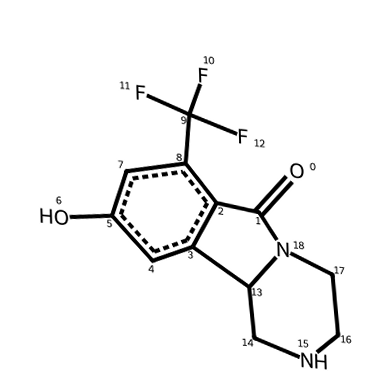 O=C1c2c(cc(O)cc2C(F)(F)F)C2CNCCN12